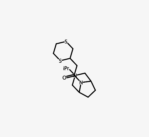 CC(C)N1CC2CCC(C1)N2C(=O)CC1CSCCS1